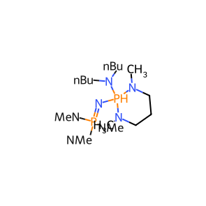 CCCCN(CCCC)[PH]1(N=P(NC)(NC)NC)N(C)CCCN1C